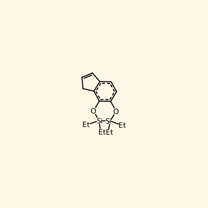 CC[Si]1(CC)Oc2ccc3c(c2O[Si]1(CC)CC)CC=C3